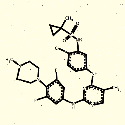 Cc1cnc(Nc2cc(F)c(N3CCN(C)CC3)c(F)c2)nc1Nc1ccc(Cl)c(NS(=O)(=O)C2(C)CC2)c1